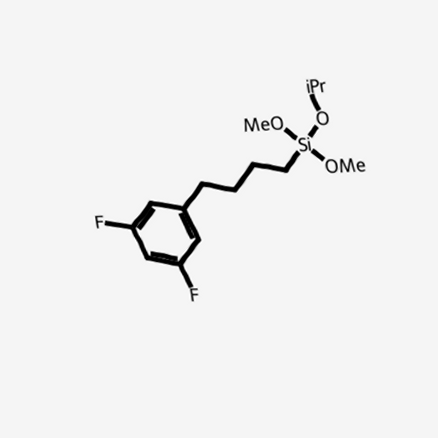 CO[Si](CCCCc1cc(F)cc(F)c1)(OC)OC(C)C